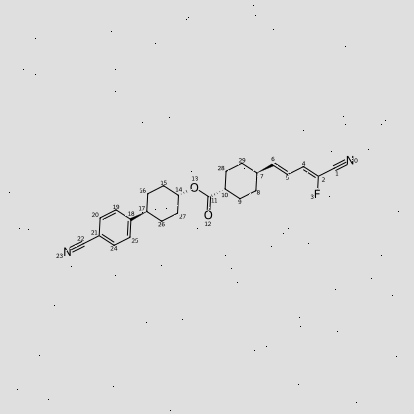 N#CC(F)=CC=C[C@H]1CC[C@H](C(=O)O[C@H]2CC[C@H](c3ccc(C#N)cc3)CC2)CC1